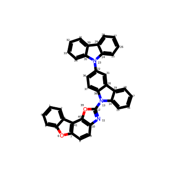 c1ccc2c(c1)oc1ccc3nc(-n4c5ccccc5c5cc(-n6c7ccccc7c7ccccc76)ccc54)oc3c12